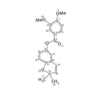 COc1ccc(S(=O)Oc2ccc3c(c2)C=CC(C)(C)O3)cc1OC